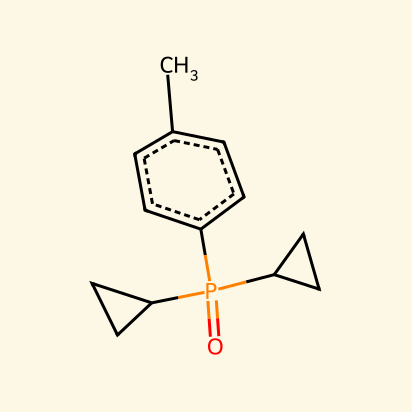 Cc1ccc(P(=O)(C2CC2)C2CC2)cc1